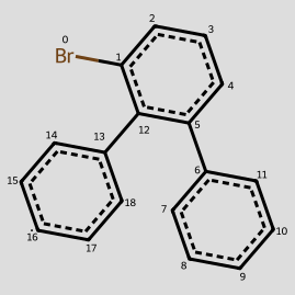 Brc1cccc(-c2ccccc2)c1-c1cc[c]cc1